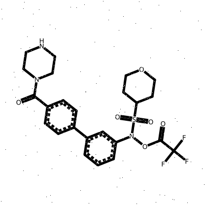 O=C(c1ccc(-c2cccc(N(OC(=O)C(F)(F)F)S(=O)(=O)C3CCOCC3)c2)cc1)N1CCNCC1